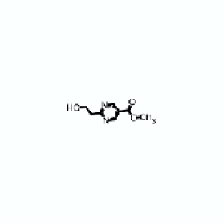 COC(=O)c1cnc(CCO)nc1